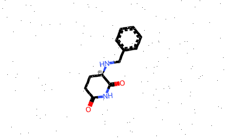 O=C1CC[C@@H](NCc2ccccc2)C(=O)N1